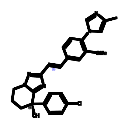 COc1cc(/C=C/c2nc3n(n2)CCC[C@@]3(O)c2ccc(Cl)cc2)ccc1-n1cnc(C)c1